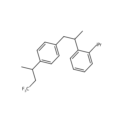 C[C](Cc1ccc(C(C)CC(F)(F)F)cc1)c1ccccc1C(C)C